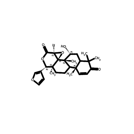 CC1(C)C(=O)C=C[C@@]2(C)C1C[C@@H](O)[C@]1(C)C2CC[C@@]2(C)[C@H](c3ccoc3)OC(=O)[C@H]3O[C@]321